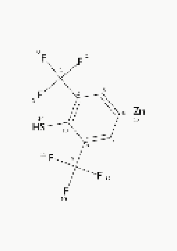 FC(F)(F)c1cccc(C(F)(F)F)c1S.[Zn]